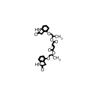 CC(COc1cccc2c1CC(=O)N2)OC(=O)/C=C/C(=O)OC(C)COc1cccc2c1CC(=O)N2